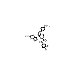 CC(C)c1ccc2c(Nc3cc(C(=O)Nc4ccc(Br)c(F)c4)ccc3Oc3ccc(N)cc3)ncnc2n1